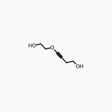 OCCC#COCCO